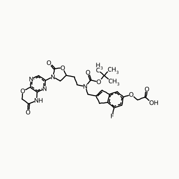 CC(C)(C)OC(=O)N(CCC1CN(c2cnc3c(n2)NC(=O)CO3)C(=O)O1)CC1=Cc2cc(OCC(=O)O)cc(F)c2C1